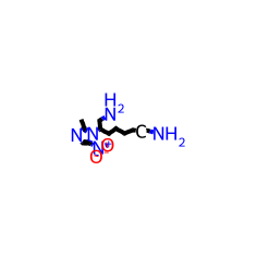 Cc1ncc([N+](=O)[O-])n1C(CN)CCCCCCN